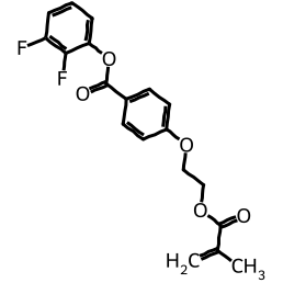 C=C(C)C(=O)OCCOc1ccc(C(=O)Oc2cccc(F)c2F)cc1